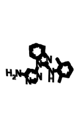 Cc1cccc(C)c1Nc1nc2ccccc2n1-c1cc(N)ncn1